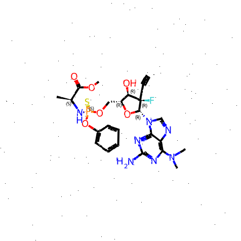 C#C[C@@]1(F)[C@H](O)[C@@H](CO[P@@](=S)(N[C@@H](C)C(=O)OC)Oc2ccccc2)O[C@H]1n1cnc2c(N(C)C)nc(N)nc21